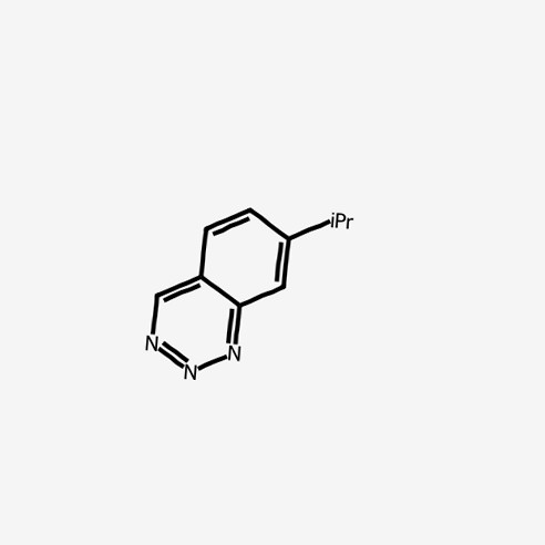 CC(C)c1ccc2cnnnc2c1